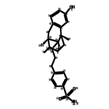 CC1CC[C@@]2(C)c3cc(O)ccc3C[C@@H]1[C@H]2NCCc1ccc(S(N)(=O)=O)cc1